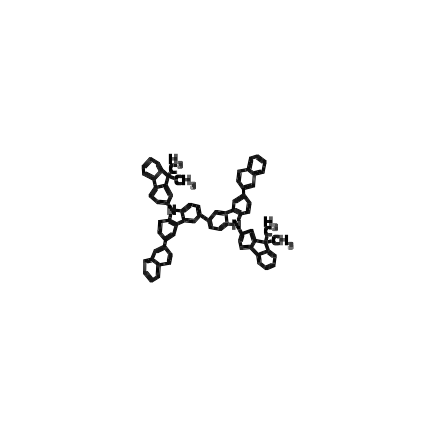 CC1(C)c2ccccc2-c2ccc(-n3c4ccc(-c5ccc6ccccc6c5)cc4c4cc(-c5ccc6c(c5)c5cc(-c7ccc8ccccc8c7)ccc5n6-c5ccc6c(c5)C(C)(C)c5ccccc5-6)ccc43)cc21